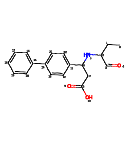 CCC(C=O)NC(CC(=O)O)c1ccc(-c2ccccc2)cc1